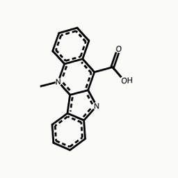 Cn1c2c3ccccc3nc-2c(C(=O)O)c2ccccc21